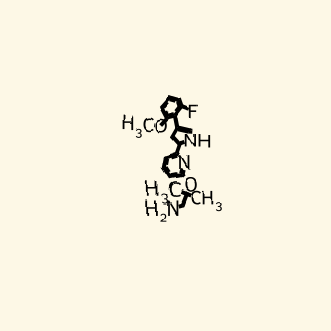 COc1cccc(F)c1C1=CNC(c2cccc(OC(C)(C)CN)n2)C1